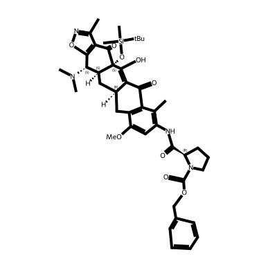 COc1cc(NC(=O)[C@H]2CCCN2C(=O)OCc2ccccc2)c(C)c2c1C[C@H]1C[C@H]3[C@H](N(C)C)c4onc(C)c4C(=O)[C@@]3(O[Si](C)(C)C(C)(C)C)C(O)=C1C2=O